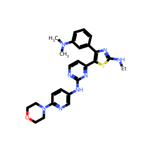 CCNc1nc(-c2cccc(N(C)C)c2)c(-c2ccnc(Nc3ccc(N4CCOCC4)nc3)n2)s1